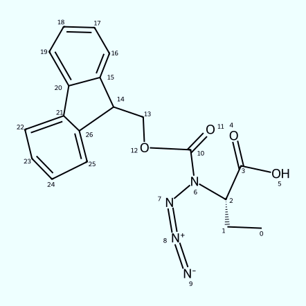 CC[C@@H](C(=O)O)N(N=[N+]=[N-])C(=O)OCC1c2ccccc2-c2ccccc21